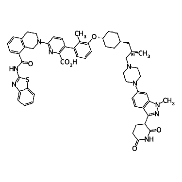 Cc1c(O[C@H]2CC[C@H](C[C@@H](C)CN3CCN(c4ccc5c(C6CCC(=O)NC6=O)nn(C)c5c4)CC3)CC2)cccc1-c1ccc(N2CCc3cccc(C(=O)Nc4nc5ccccc5s4)c3C2)nc1C(=O)O